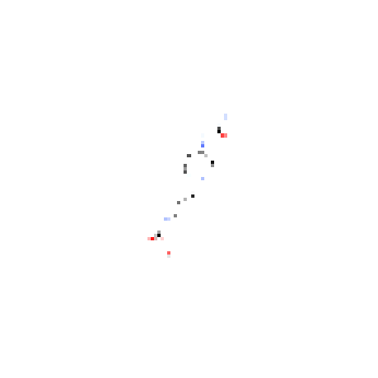 CC(C)(C)OC(=O)NCCCN1CCC(NC(N)=O)CC1